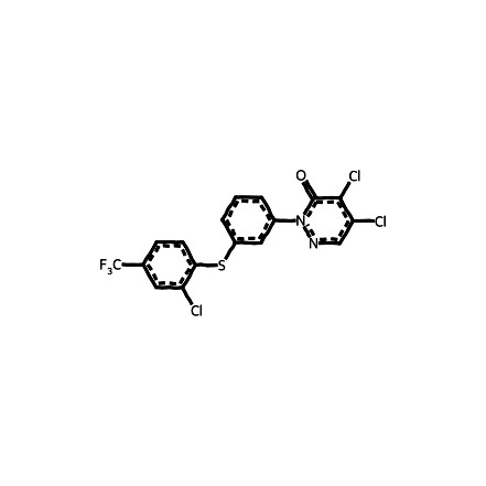 O=c1c(Cl)c(Cl)cnn1-c1cccc(Sc2ccc(C(F)(F)F)cc2Cl)c1